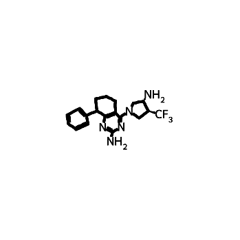 Nc1nc2c(c(N3C[C@H](N)[C@@H](C(F)(F)F)C3)n1)CCCC2c1ccccc1